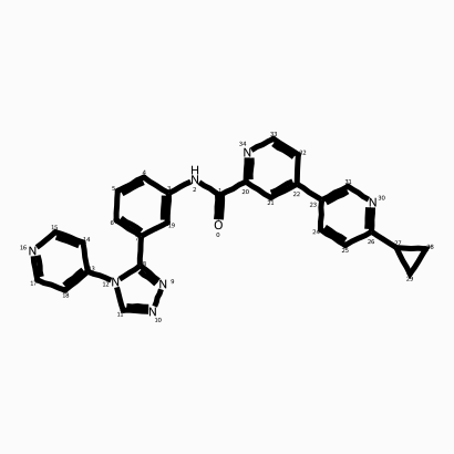 O=C(Nc1cccc(-c2nncn2-c2ccncc2)c1)c1cc(-c2ccc(C3CC3)nc2)ccn1